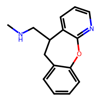 CNCC1Cc2ccccc2Oc2ncccc21